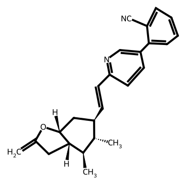 C=C1C[C@H]2[C@H](C)[C@@H](C)[C@H](/C=C/c3ccc(-c4ccccc4C#N)cn3)C[C@H]2O1